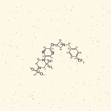 [2H]C1([2H])CN(S(C)(=O)=O)CCN1c1cnc(OC2CN(Cc3ccc(C(F)(F)F)cc3)C2)cn1